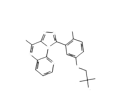 Cc1nc2cccnc2n2c(-c3cc(OCC(C)(C)O)ccc3Cl)nnc12